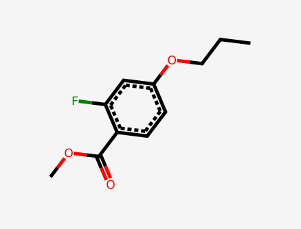 CCCOc1ccc(C(=O)OC)c(F)c1